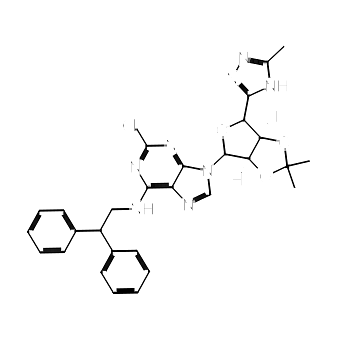 Cc1nnc(C2OC(n3cnc4c(NCC(c5ccccc5)c5ccccc5)nc(Cl)nc43)[C@@H]3OC(C)(C)O[C@H]23)[nH]1